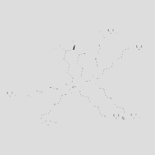 CCC(CCCC[Si](OCCOCCOC)(OCCOCCOC)OCCOCCOC)C(=O)C(CC)CCCC[Si](OCCOCCOC)(OCCOCCOC)OCCOCCOC